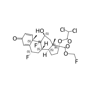 C[C@]12C=CC(=O)C=C1[C@@H](F)C[C@H]1[C@@H]3CC[C@](OC(=O)C(Cl)Cl)(C(=O)OCF)[C@@]3(C)C[C@H](O)[C@@]12F